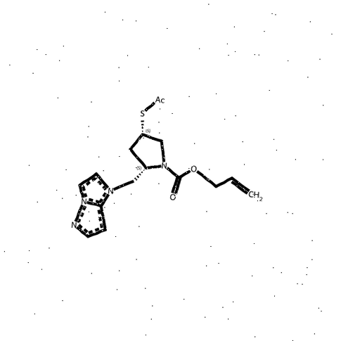 C=CCOC(=O)N1C[C@@H](SC(C)=O)C[C@H]1Cn1ccn2nccc12